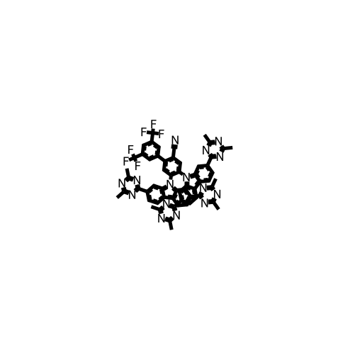 Cc1nc(C)nc(-c2ccc3c4ccc(-c5nc(C)nc(C)n5)cc4n(-c4cc(C#N)c(-c5cc(C(F)(F)F)cc(C(F)(F)F)c5)cc4-n4c5cc(-c6nc(C)nc(C)n6)ccc5c5ccc(-c6nc(C)nc(C)n6)cc54)c3c2)n1